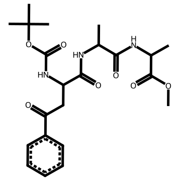 COC(=O)C(C)NC(=O)C(C)NC(=O)C(CC(=O)c1ccccc1)NC(=O)OC(C)(C)C